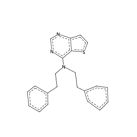 c1ccc(CCN(CCc2ccccc2)c2ncnc3ccsc23)cc1